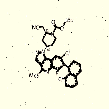 CSc1nc2c(F)c(-c3cccc4cccc(Cl)c34)c(Cl)cc2c2c1cnn2[C@H]1CCN(C(=O)OC(C)(C)C)[C@H](CC#N)C1